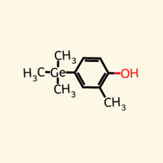 Cc1c[c]([Ge]([CH3])([CH3])[CH3])ccc1O